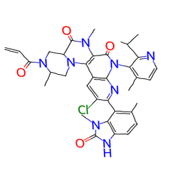 C=CC(=O)N1CC2C(=O)N(C)c3c(c4cc(Cl)c(-c5c(C)ccc6[nH]c(=O)n(C)c56)nc4n(-c4c(C)ccnc4C(C)C)c3=O)N2CC1C